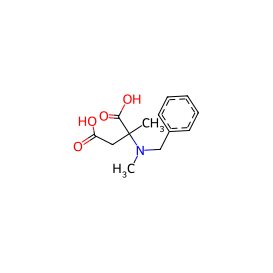 CN(Cc1ccccc1)C(C)(CC(=O)O)C(=O)O